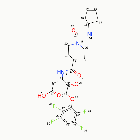 O=C(O)C[C@H](NC(=O)C1CCN(C(=O)NC2CCCC2)CC1)C(=O)COc1c(F)c(F)cc(F)c1F